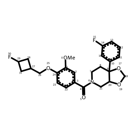 COc1cc(C(=O)N2CCC3(c4cccc(F)c4)OCOC3C2)ccc1OCC1CC(F)C1